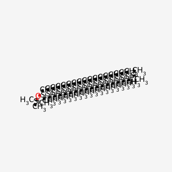 C[SiH](C)[Si](C)(C)[Si](C)(C)[Si](C)(C)[Si](C)(C)[Si](C)(C)[Si](C)(C)[Si](C)(C)[Si](C)(C)[Si](C)(C)[Si](C)(C)[Si](C)(C)[Si](C)(C)[Si](C)(C)[Si](C)(C)[Si](C)(C)[Si](C)(C)[Si](C)(C)O[Si](C)(C)C